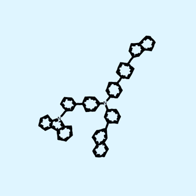 c1cc(-c2ccc3ccccc3c2)cc(N(c2ccc(-c3ccc(-c4ccc5ccccc5c4)cc3)cc2)c2ccc(-c3cccc(-n4c5ccccc5c5ccccc54)c3)cc2)c1